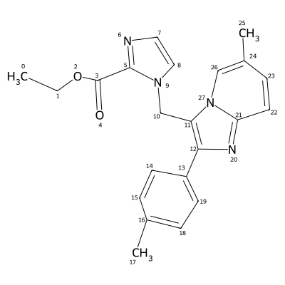 CCOC(=O)c1nccn1Cc1c(-c2ccc(C)cc2)nc2ccc(C)cn12